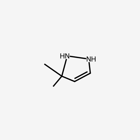 CC1(C)C=CNN1